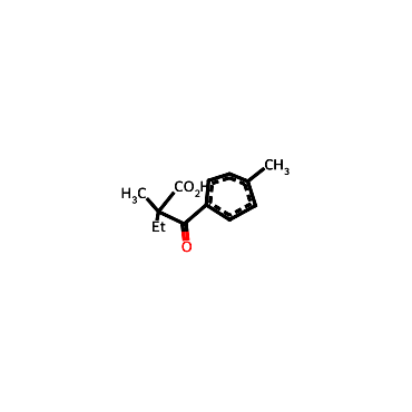 CCC(C)(C(=O)O)C(=O)c1ccc(C)cc1